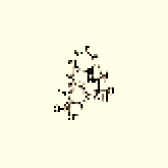 Cc1c([N+](=O)[O-])cc2[nH]c(=O)c(=O)[nH]c2c1CN1CCCCCC1